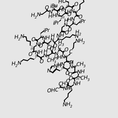 CC[C@H](C)[C@H](NC(=O)CN)C(=O)N[C@@H](CC(C)C)C(=O)N[C@@H](CO)C(=O)N[C@@H](CCCCN)C(=O)N[C@@H](CC(C)C)C(=O)NCC(=O)N[C@@H](CCCCN)C(=O)N[C@@H](C)C(=O)N[C@@H](CC(C)C)C(=O)N[C@@H](CCCCN)C(=O)N[C@@H](CCCCN)C(=O)N[C@@H](C)C(=O)N[C@@H](C)C(=O)N[C@@H](CCCCN)C(=O)N[C@@H](Cc1cnc[nH]1)C(=O)N[C@@H](C)C(=O)N[C@@H](C)C(=O)N[C@@H](CCCCN)C(=O)N[C@@H](C)C=O